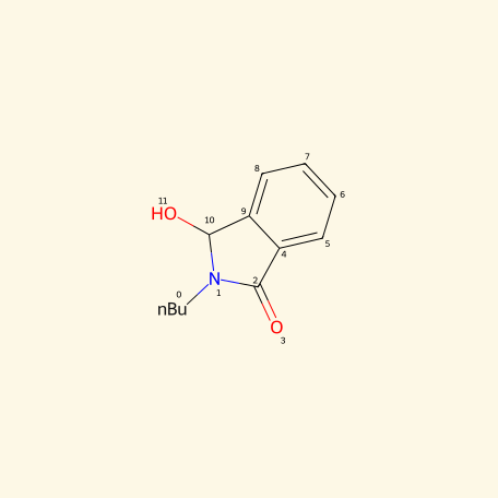 CCCCN1C(=O)c2ccccc2C1O